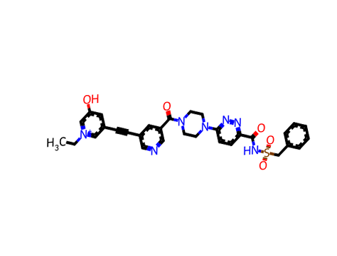 CC[n+]1cc(O)cc(C#Cc2cncc(C(=O)N3CCN(c4ccc(C(=O)NS(=O)(=O)Cc5ccccc5)nn4)CC3)c2)c1